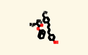 C=C(C)C(=O)OC1C2CC3CC(C2)CC1C3.CC(C)Cc1ccc(C=CC=Cc2ccc(O)cc2)cc1